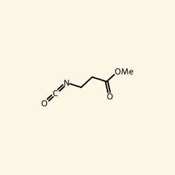 COC(=O)CCN=C=O